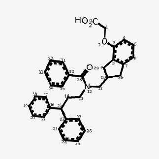 O=C(O)COc1cccc2c1CC(CN(CCC(c1ccccc1)c1ccccc1)C(=O)c1ccccc1)C2